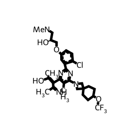 CNC[C@@H](O)COc1ccc(Cl)c(-c2nc(/C(C(C)=N)=C(\C)O)c(C)c(N3CC4(CCC(OC(F)(F)F)CC4)C3)n2)c1